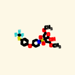 COCCC(CCOC)(C(=O)O)S(=O)(=O)N1CCC(Oc2ccc(SC(F)(F)F)cc2)CC1